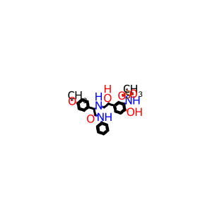 COc1ccc([C@@H](NC[C@@H](O)c2ccc(O)c(NS(C)(=O)=O)c2)C(=O)Nc2ccccc2)cc1